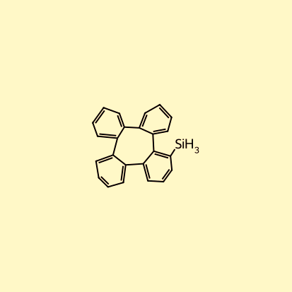 [SiH3]c1cccc2c1-c1ccccc1-c1ccccc1-c1ccccc1-2